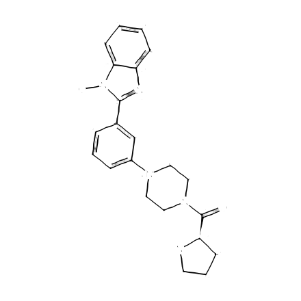 Cn1c(-c2cccc(N3CCN(C(=O)[C@H]4CCCN4)CC3)c2)nc2ccccc21